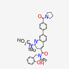 CCCN(Cc1ccccc1O)C(=O)C1=Cc2ccc(-c3ccc(C(=O)N4CCCC4)cc3)cc2N=C(N(C(=O)O)C(C)(C)C)C1